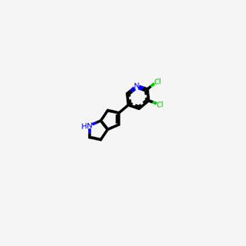 Clc1cc(C2=CC3CCNC3C2)cnc1Cl